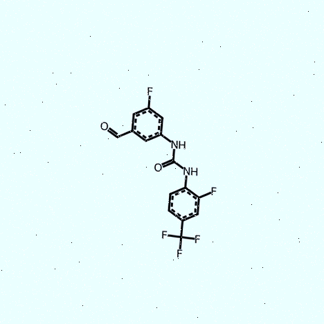 O=Cc1cc(F)cc(NC(=O)Nc2ccc(C(F)(F)F)cc2F)c1